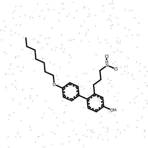 CCCCCCCOc1ccc(-c2ccc(O)cc2CCC[SiH](Cl)Cl)cc1